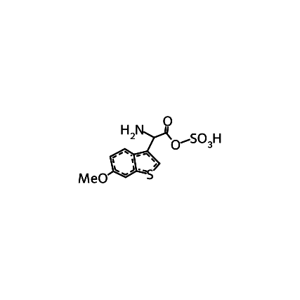 COc1ccc2c(C(N)C(=O)OS(=O)(=O)O)csc2c1